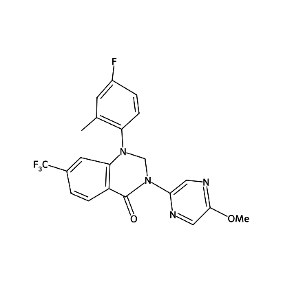 COc1cnc(N2CN(c3ccc(F)cc3C)c3cc(C(F)(F)F)ccc3C2=O)cn1